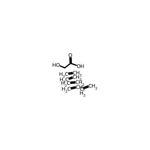 C=C.C=C.C=C.C=C.C=C.O=C(O)CO